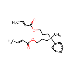 CC=CC(=O)OCCC[Si](C)(CCCOC(=O)C=CC)c1ccccc1